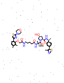 Cc1ccc(-c2csc(N3CCOCC3)n2)c(OCC(=O)NCCCCC(=O)N[C@@](C)(C(=O)N2C[C@H](O)C[C@H]2C(=O)N[C@@H](C)c2ccc(-c3scnc3C)cc2)C(C)(C)C)c1C